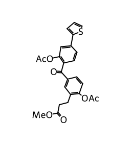 COC(=O)CCc1cc(C(=O)c2ccc(-c3cccs3)cc2OC(C)=O)ccc1OC(C)=O